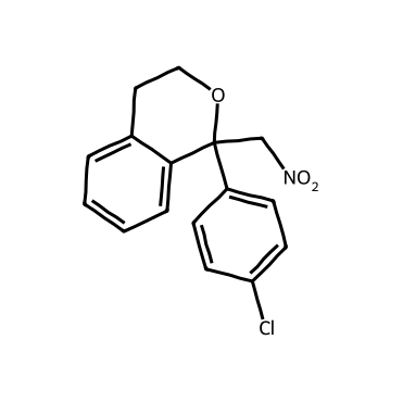 O=[N+]([O-])CC1(c2ccc(Cl)cc2)OCCc2ccccc21